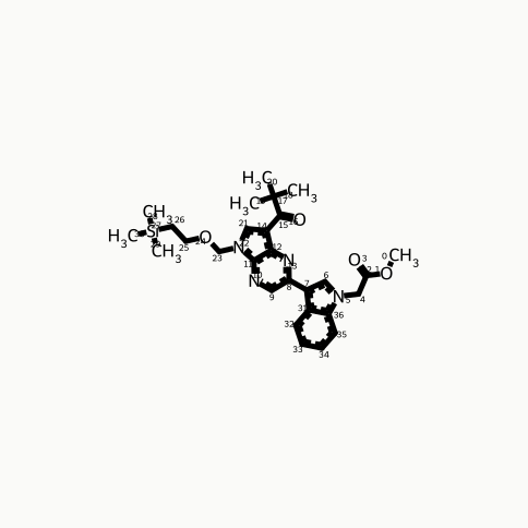 COC(=O)Cn1cc(-c2cnc3c(n2)c(C(=O)C(C)(C)C)cn3COCC[Si](C)(C)C)c2ccccc21